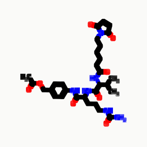 CC(=O)OCc1ccc(NC(=O)C(CCCNC(N)=O)NC(=O)[C@@H](NC(=O)CCCCCN2C(=O)C=CC2=O)C(C)C)cc1